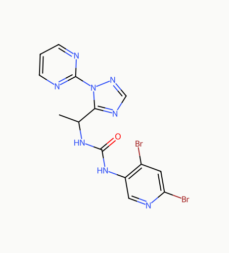 CC(NC(=O)Nc1cnc(Br)cc1Br)c1ncnn1-c1ncccn1